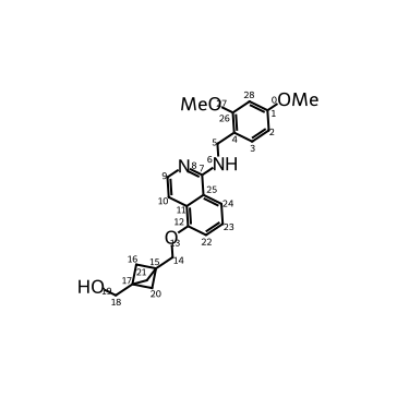 COc1ccc(CNc2nccc3c(OCC45CC(CO)(C4)C5)cccc23)c(OC)c1